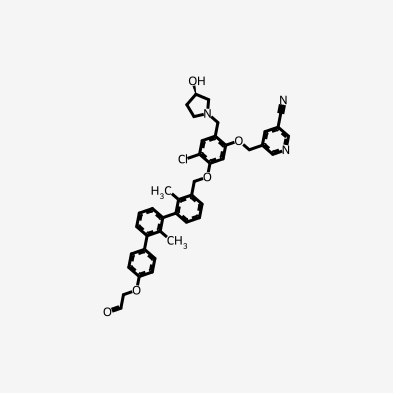 Cc1c(COc2cc(OCc3cncc(C#N)c3)c(CN3CC[C@@H](O)C3)cc2Cl)cccc1-c1cccc(-c2ccc(OCC=O)cc2)c1C